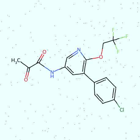 CC(=O)C(=O)Nc1cnc(OCC(F)(F)F)c(-c2ccc(Cl)cc2)c1